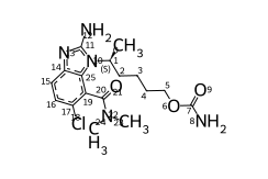 C[C@@H](CCCCOC(N)=O)n1c(N)nc2ccc(Cl)c(C(=O)N(C)C)c21